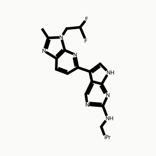 Cc1nc2ccc(-c3c[nH]c4nc(NCC(C)C)ncc34)nc2n1CC(F)F